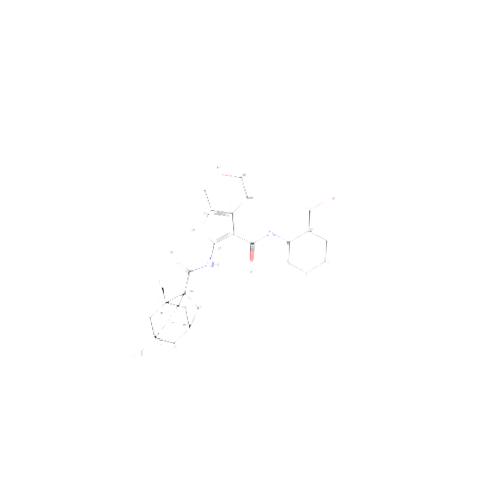 O=C(NC1CCCCC1CO)c1c(NC(=O)C23CC4C[C@@H](C[C@H]2C4)C3)sc2c1CCOC2